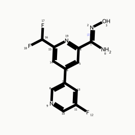 N/C(=N\O)c1cc(-c2cncc(F)c2)cc(C(F)F)n1